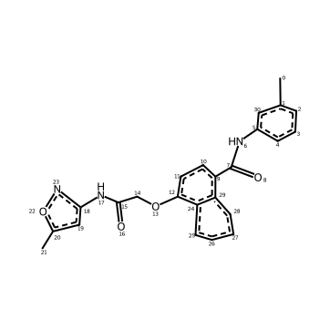 Cc1cccc(NC(=O)c2ccc(OCC(=O)Nc3cc(C)on3)c3ccccc23)c1